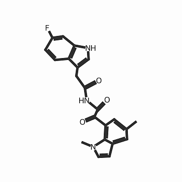 Cc1cc(C(=O)C(=O)NC(=O)Cc2c[nH]c3cc(F)ccc23)c2c(ccn2C)c1